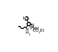 C=C/C=C\C=C(/N)c1cc(-c2cccnc2)cc2nc(NC(=O)OCC)sc12